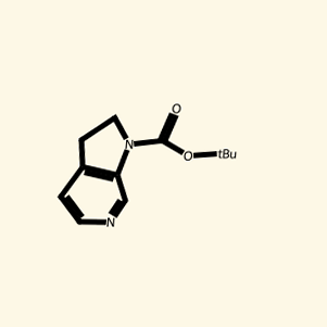 CC(C)(C)OC(=O)N1CCc2ccncc21